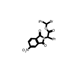 CC(C)C(Br)OC(=O)C(C(C)C)N1C(=O)c2ccc([N+](=O)[O-])cc2C1=O